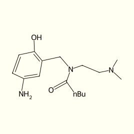 CCCCC(=O)N(CCN(C)C)Cc1cc(N)ccc1O